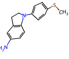 CSc1ccc(N2CCc3cc(N)ccc32)cc1